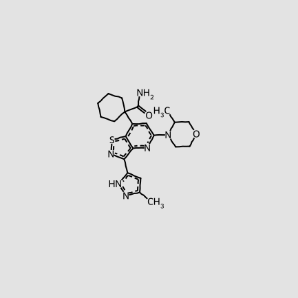 Cc1cc(-c2nsc3c(C4(C(N)=O)CCCCC4)cc(N4CCOCC4C)nc23)[nH]n1